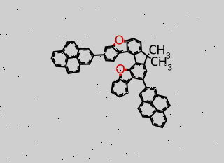 CC1(C)c2cc(-c3cc4ccc5cccc6ccc(c3)c4c56)c3c(oc4ccccc43)c2-c2c1ccc1oc3cc(-c4cc5ccc6cccc7ccc(c4)c5c67)ccc3c21